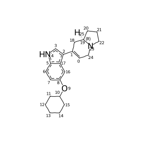 C1=C(c2c[nH]c3ccc(OC4CCCCC4)cc23)C[C@H]2CCCN2C1